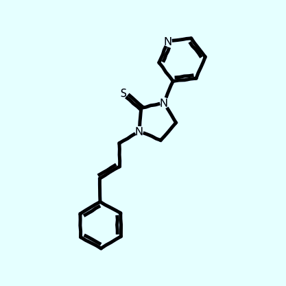 S=C1N(CC=Cc2ccccc2)CCN1c1cccnc1